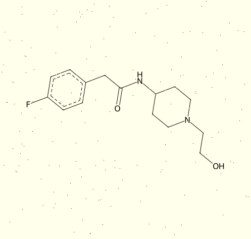 O=C(Cc1ccc(F)cc1)NC1CCN(CCO)CC1